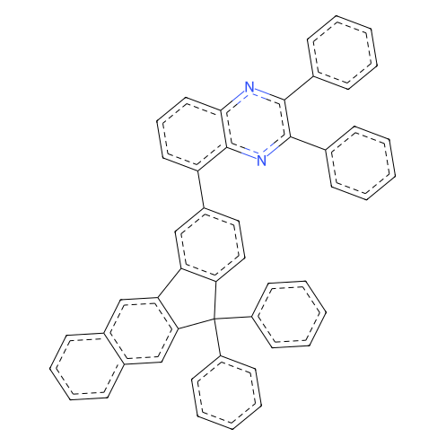 c1ccc(-c2nc3cccc(-c4ccc5c(c4)-c4cc6ccccc6cc4C5(c4ccccc4)c4ccccc4)c3nc2-c2ccccc2)cc1